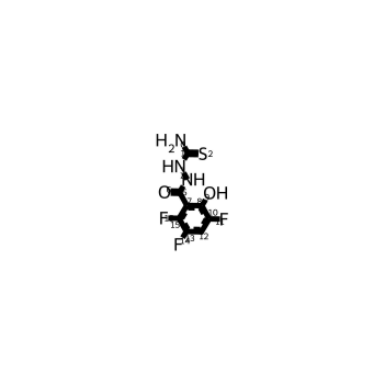 NC(=S)NNC(=O)c1c(O)c(F)cc(F)c1F